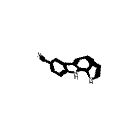 N#Cc1ccc2[nH]c3c(ccc4cc[nH]c43)c2c1